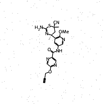 C#CCOc1cnc(C(=O)Nc2cnc(OC)c([C@]3(C)C[C@](C)(C#N)SC(N)=N3)c2)cn1